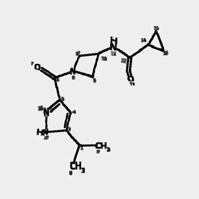 CC(C)c1cc(C(=O)N2CC(NC(=O)C3CC3)C2)n[nH]1